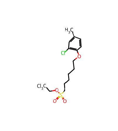 Cc1ccc(OCCCCCCS(=O)(=O)OCC(Cl)(Cl)Cl)c(Cl)c1